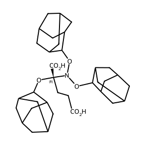 O=C(O)CC[C@@](OC1C2CC3CC(C2)CC1C3)(C(=O)O)N(OC1C2CC3CC(C2)CC1C3)OC1C2CC3CC(C2)CC1C3